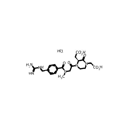 CN(CC(=O)N1CCN(CC(=O)O)C(=O)[C@@H]1CC(=O)O)C(=O)c1ccc(CNC(=N)N)cc1.Cl